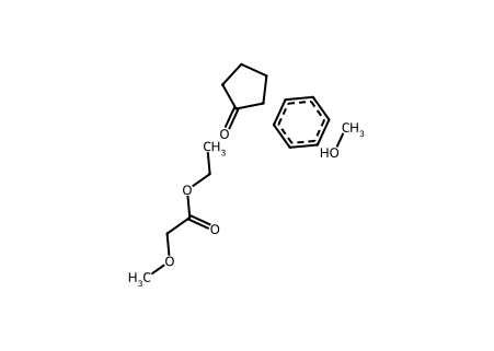 CCOC(=O)COC.CO.O=C1CCCC1.c1ccccc1